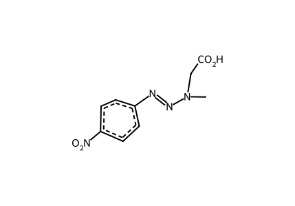 CN(CC(=O)O)/N=N/c1ccc([N+](=O)[O-])cc1